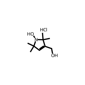 CC1(C)C=C(CO)C(C)(C)N1O.Cl